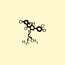 CCN(CC)CCN=C1CC(c2ccc(Cl)c(Cl)c2)Cc2[nH]c3ccc(Cl)cc3c(=O)c21